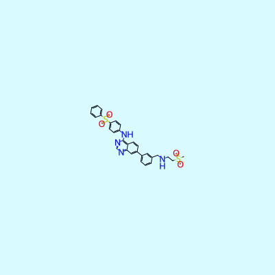 CS(=O)(=O)CCNCc1cccc(-c2ccc3c(Nc4ccc(S(=O)(=O)c5ccccc5)cc4)ncnc3c2)c1